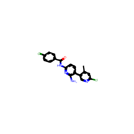 Cc1cc(Cl)ncc1-c1ccc(NC(=O)c2ccc(Cl)cc2)nc1N